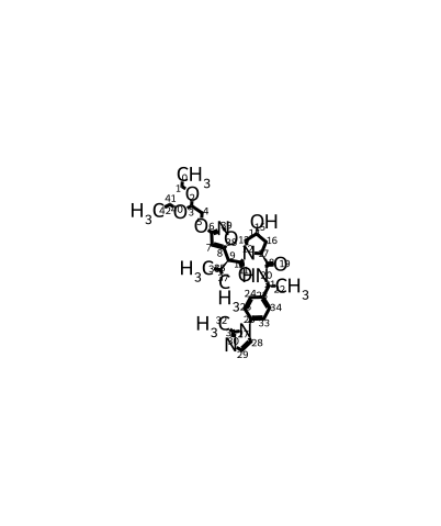 CCOC(COc1cc([C@@H](C(=O)N2C[C@H](O)C[C@H]2C(=O)N[C@@H](C)c2ccc(-n3ccnc3C)cc2)C(C)C)on1)OCC